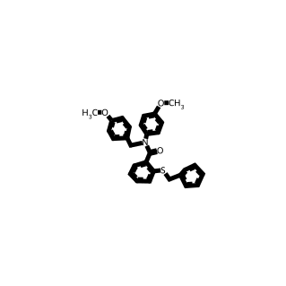 COc1ccc(CN(C(=O)c2ccccc2SCc2ccccc2)c2ccc(OC)cc2)cc1